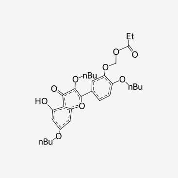 CCCCOc1cc(O)c2c(=O)c(OCCCC)c(-c3ccc(OCCCC)c(OCOC(=O)CC)c3)oc2c1